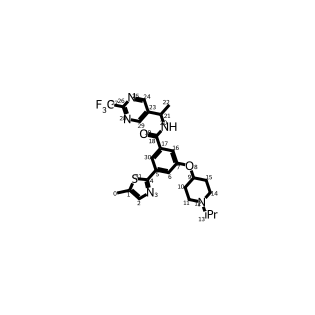 Cc1cnc(-c2cc(OC3CCN(C(C)C)CC3)cc(C(=O)NC(C)c3cnc(C(F)(F)F)nc3)c2)s1